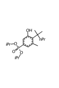 CCCC(C)(C)c1c(C)cc(P(=O)(OC(C)C)OC(C)C)cc1O